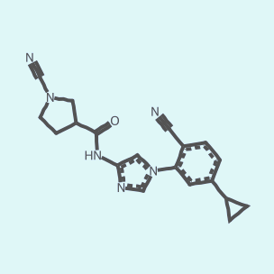 N#Cc1ccc(C2CC2)cc1-n1cnc(NC(=O)C2CCN(C#N)C2)c1